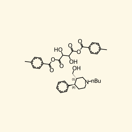 CCCCN1CC[C@@H](c2ccccc2)[C@H](CO)C1.Cc1ccc(C(=O)OC(=O)C(O)C(O)C(=O)OC(=O)c2ccc(C)cc2)cc1